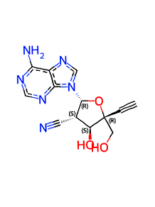 C#C[C@]1(CO)O[C@@H](n2cnc3c(N)ncnc32)[C@@H](C#N)[C@@H]1O